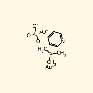 CP(C)C.[Au+].[O-][Cl+3]([O-])([O-])[O-].c1ccncc1